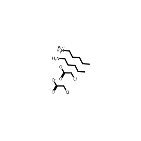 CCCCCN.CCCCCN.O=C([O-])CCl.O=C([O-])CCl.[Pt+2]